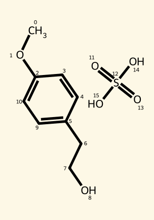 COc1ccc(CCO)cc1.O=S(=O)(O)O